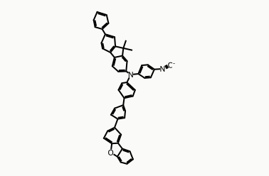 [C-]#[N+]c1ccc(N(c2ccc(-c3ccc(-c4ccc5oc6ccccc6c5c4)cc3)cc2)c2ccc3c(c2)C(C)(C)c2cc(-c4ccccc4)ccc2-3)cc1